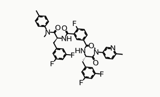 Cc1ccc(N(C)C(=O)[C@H](Cc2cc(F)cc(F)c2)NC(=O)c2cc(C(=O)N[C@@H](Cc3cc(F)cc(F)c3)C(=O)N(C)c3ccc(C)nc3)ccc2F)cc1